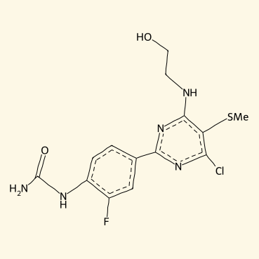 CSc1c(Cl)nc(-c2ccc(NC(N)=O)c(F)c2)nc1NCCO